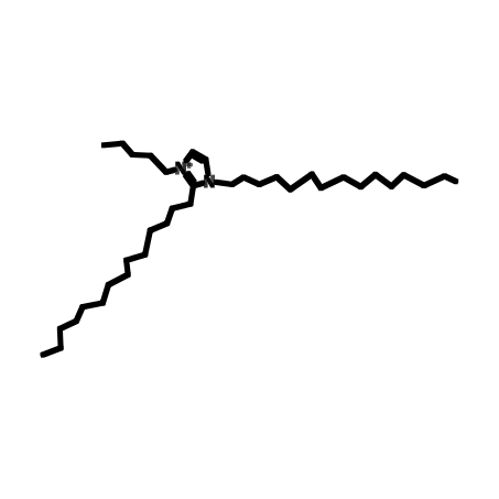 CCCCCCCCCCCCCCCn1cc[n+](CCCCC)c1CCCCCCCCCCCCCC